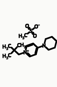 CC(C)(C)C[n+]1ccc(N2CCCCC2)cc1.CS(=O)(=O)[O-]